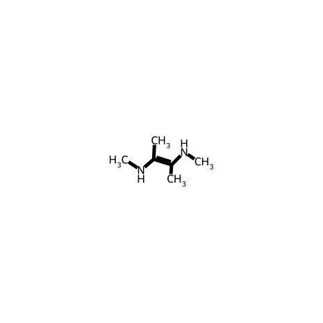 CN/C(C)=C(\C)NC